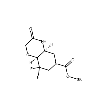 CC(C)(C)OC(=O)N1C[C@@H]2NC(=O)CO[C@@H]2C(F)(F)C1